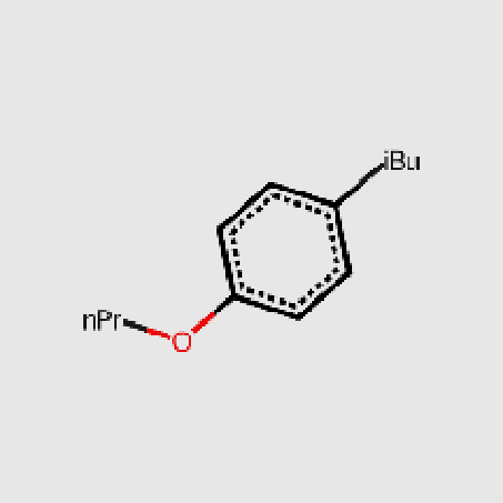 CCCOc1ccc(C(C)CC)cc1